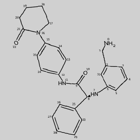 NCc1cccc(N[C@H](C(=O)Nc2ccc(N3CCCCC3=O)cc2)c2ccccc2)c1